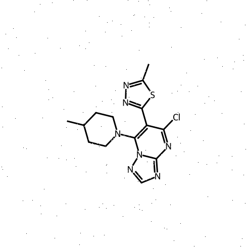 Cc1nnc(-c2c(Cl)nc3ncnn3c2N2CCC(C)CC2)s1